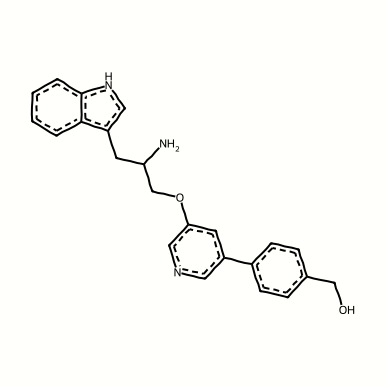 NC(COc1cncc(-c2ccc(CO)cc2)c1)Cc1c[nH]c2ccccc12